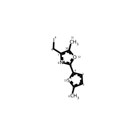 Cc1ccc(-c2nc(CI)c(C)o2)s1